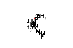 COc1ccc(CNc2cc(Cl)nc(-n3ncc(/C=C/CN4CCN(c5cc(F)cc(F)c5)CC4)c3C)n2)cc1